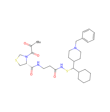 CC(C)(C)C(=O)C(=O)N1CSC[C@H]1C(=O)NCCC(=O)NSC(C1CCCCC1)C1CCN(Cc2ccccc2)CC1